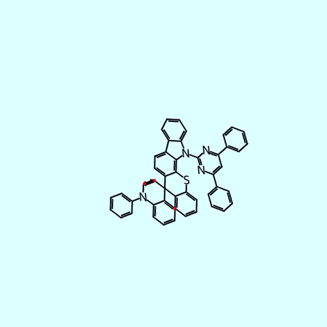 c1ccc(-c2cc(-c3ccccc3)nc(-n3c4ccccc4c4ccc5c(c43)Sc3ccccc3C53c4ccccc4N(c4ccccc4)c4ccccc43)n2)cc1